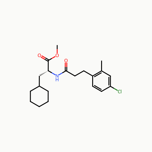 COC(=O)[C@@H](CC1CCCCC1)NC(=O)CCc1ccc(Cl)cc1C